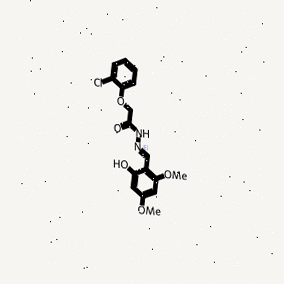 COc1cc(O)c(/C=N/NC(=O)COc2ccccc2Cl)c(OC)c1